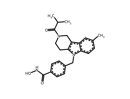 Cc1ccc2c(c1)c1c(n2Cc2ccc(C(=O)NO)cc2)CCN(C(=O)C(C)C)C1